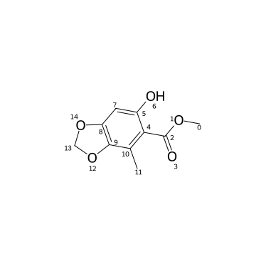 COC(=O)c1c(O)cc2c(c1C)OCO2